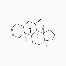 C[C@@H]1CC2CC=CC[C@@H]2[C@H]2CC[C@]3(C)CCC[C@H]3[C@@H]21